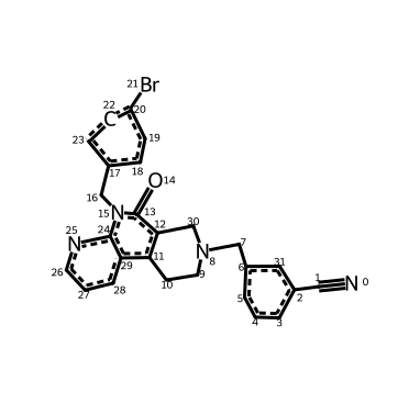 N#Cc1cccc(CN2CCc3c(c(=O)n(Cc4ccc(Br)cc4)c4ncccc34)C2)c1